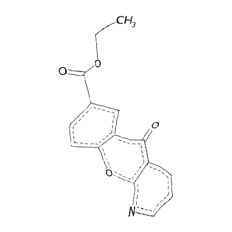 CCOC(=O)c1ccc2oc3ncccc3c(=O)c2c1